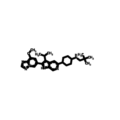 COc1cc(-c2[nH]c3cnc(C4CCC(NCC(C)(C)C)CC4)cc3c2C(C)C)cn2ncnc12